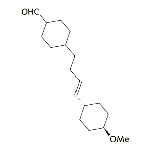 CO[C@H]1CC[C@H](C=CCCC2CCC(C=O)CC2)CC1